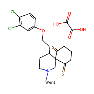 CCCCCN1CCC(CCOc2ccc(Cl)c(Cl)c2)C2(C1)C(=S)CCCC2=S.O=C(O)C(=O)O